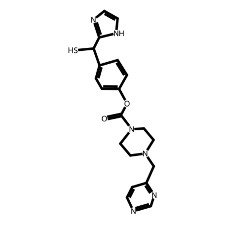 O=C(Oc1ccc(C(S)c2ncc[nH]2)cc1)N1CCN(Cc2ccncn2)CC1